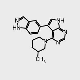 CC1CCCN(c2ncnc3[nH]cc(-c4ccc5[nH]ncc5c4)c23)C1